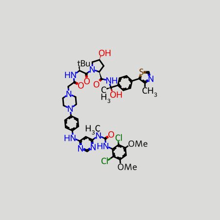 COc1cc(OC)c(Cl)c(NC(=O)N(C)c2cc(Nc3ccc(N4CCN(CC(=O)N[C@H](C(=O)N5C[C@H](O)C[C@H]5C(=O)N[C@@](C)(O)c5ccc(-c6scnc6C)cc5)C(C)(C)C)CC4)cc3)ncn2)c1Cl